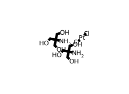 NC(CO)(CO)CO.NC(CO)(CO)CO.[Cl][Pt][Cl]